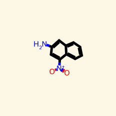 Nc1cc([N+](=O)[O-])c2ccccc2c1